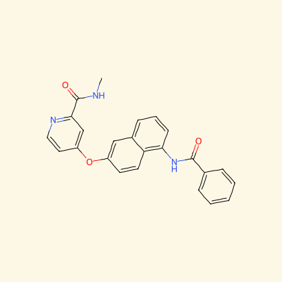 CNC(=O)c1cc(Oc2ccc3c(NC(=O)c4ccccc4)cccc3c2)ccn1